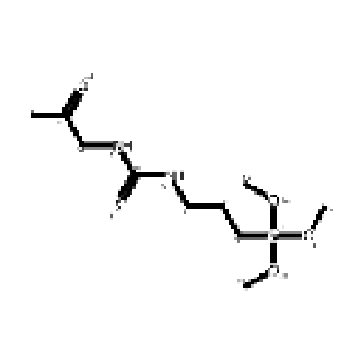 CO[Si](CCCNC(=S)NCC(C)=O)(OC)OC